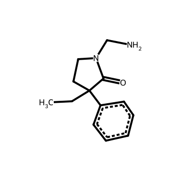 CCC1(c2ccccc2)CCN(CN)C1=O